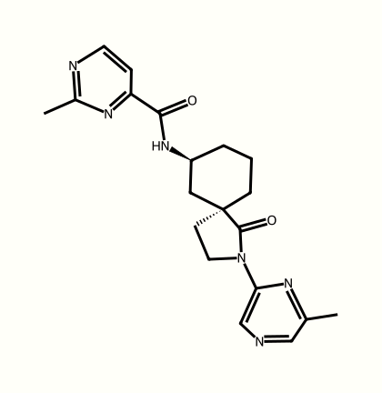 Cc1cncc(N2CC[C@]3(CCC[C@H](NC(=O)c4ccnc(C)n4)C3)C2=O)n1